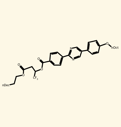 CCCCCCCCCCCCOC(=O)CC(OC(=O)c1ccc(-c2ncc(-c3ccc(OCCCCCCCC)cc3)cn2)cc1)C(F)(F)F